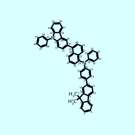 CC1(C)c2ccccc2-c2ccc(-c3ccc(N(c4ccccc4)c4cccc5c(-c6ccc7c(c6)c6ccccc6n7-c6ccccc6)cccc45)cc3)cc21